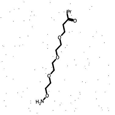 CC(C)C(=O)CCOCCOCCOCCON